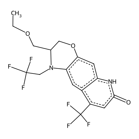 CCOCC1COc2cc3[nH]c(=O)cc(C(F)(F)F)c3cc2N1CC(F)(F)F